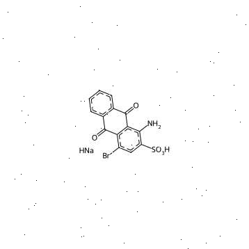 Nc1c(S(=O)(=O)O)cc(Br)c2c1C(=O)c1ccccc1C2=O.[NaH]